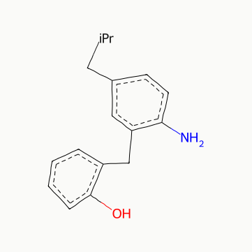 CC(C)Cc1ccc(N)c(Cc2ccccc2O)c1